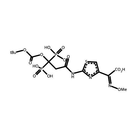 CO/N=C(\C(=O)O)c1csc(NC(=O)CC(OC(=O)OC(C)(C)C)(P(=O)(O)O)P(=O)(O)O)n1